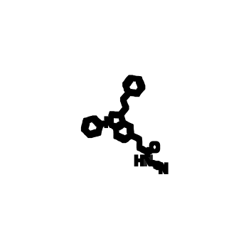 N#CNC(=O)CCc1ccc2c(c1)c(CCc1ccccc1)cn2-c1ccccc1